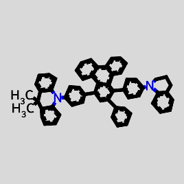 CC1(C)c2ccccc2N(c2ccc(-c3cc(-c4ccccc4)c(-c4ccc(N5CCCc6ccccc65)cc4)c4c5ccccc5c5ccccc5c34)cc2)c2ccccc21